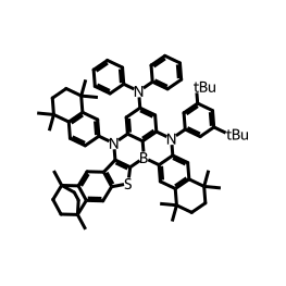 CC(C)(C)c1cc(N2c3cc4c(cc3B3c5sc6cc7c(cc6c5N(c5ccc6c(c5)C(C)(C)CCC6(C)C)c5cc(N(c6ccccc6)c6ccccc6)cc2c53)C2(C)CCC7(C)CC2)C(C)(C)CCC4(C)C)cc(C(C)(C)C)c1